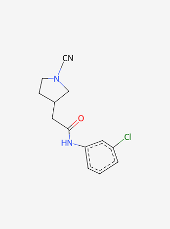 N#CN1CCC(CC(=O)Nc2cccc(Cl)c2)C1